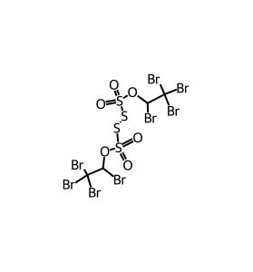 O=S(=O)(OC(Br)C(Br)(Br)Br)SSS(=O)(=O)OC(Br)C(Br)(Br)Br